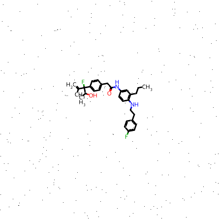 C=C(C)C(F)(c1ccc(CC(=O)Nc2ccc(NCCc3ccc(F)cc3)c(CCC)c2)cc1)C(C)O